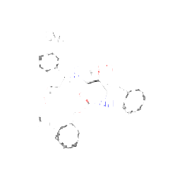 C=CCO[C@@H]1C[C@H](NC[C@@H](O)[C@H](Cc2ccccc2)NC(=O)OCc2ccccc2)c2cc(OC)ccc21